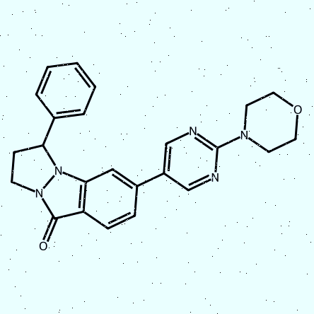 O=c1c2ccc(-c3cnc(N4CCOCC4)nc3)cc2n2n1CCC2c1ccccc1